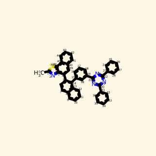 Cc1nc2c(-c3ccc4ccccc4c3-c3cccc(-c4nc(-c5ccccc5)nc(-c5ccccc5)n4)c3)cc3ccccc3c2s1